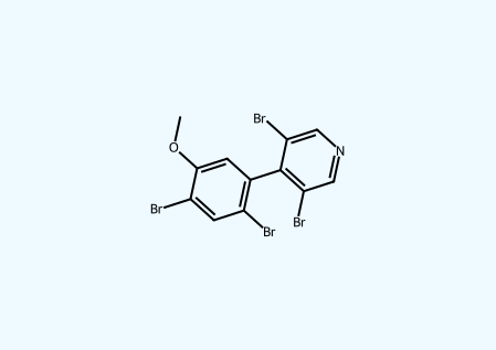 COc1cc(-c2c(Br)cncc2Br)c(Br)cc1Br